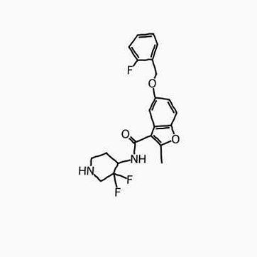 Cc1oc2ccc(OCc3ccccc3F)cc2c1C(=O)NC1CCNCC1(F)F